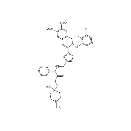 COc1ccc([C@H](Cc2c(Cl)cncc2Cl)OC(=O)c2ccc(CNC(C(=O)OCC3(C)CCN(C)CC3)c3ccccc3)s2)cc1OC